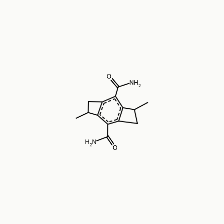 CC1Cc2c(C(N)=O)c3c(c(C(N)=O)c21)CC3C